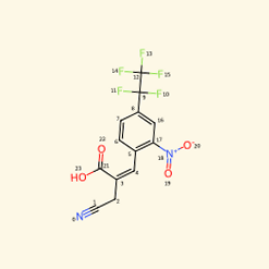 N#CCC(=Cc1ccc(C(F)(F)C(F)(F)F)cc1[N+](=O)[O-])C(=O)O